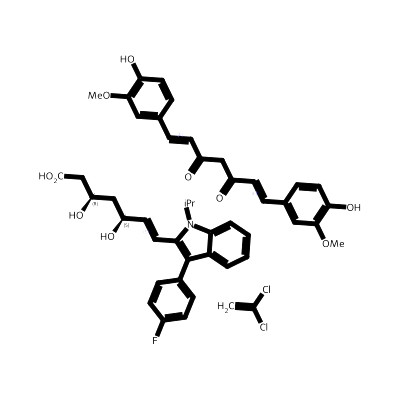 C=C(Cl)Cl.CC(C)n1c(/C=C/[C@@H](O)C[C@@H](O)CC(=O)O)c(-c2ccc(F)cc2)c2ccccc21.COc1cc(/C=C/C(=O)CC(=O)/C=C/c2ccc(O)c(OC)c2)ccc1O